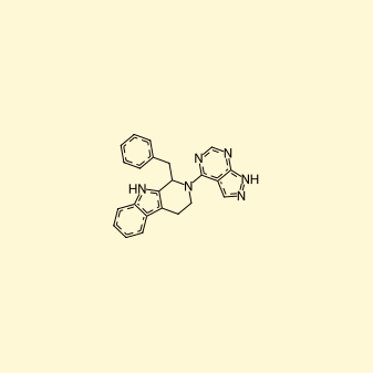 c1ccc(CC2c3[nH]c4ccccc4c3CCN2c2ncnc3[nH]ncc23)cc1